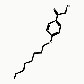 CCCCCCCCOc1ccc(C(=O)CO)cc1